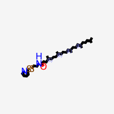 CC(C)=CCC/C(C)=C/CC/C(C)=C/CC/C=C(\C)CC/C=C(\C)CCC(=O)NCCSSc1ccccn1